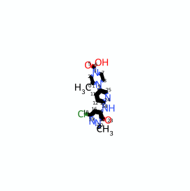 CC1CN(C(=O)O)CCN1c1ccc(Nc2cc(Cl)nn(C)c2=O)nc1